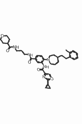 Cc1ccccc1CCC1CCCN(c2ccc(C(=O)NCCCNC(=O)C3CCOCC3)cc2NC(=O)c2coc(C3CC3)n2)CC1